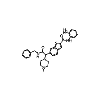 CN1CCN(C(C(=O)NCc2ccccc2)c2ccc3cc(C(=O)Nc4ccccc4N)sc3c2)CC1